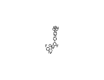 C#CCC(c1cc(F)ccc1F)N1Cc2c(F)cc(-c3ccc(N4CCN(C(=O)OC(C)(C)C)CC4)cc3)cc2C1=O